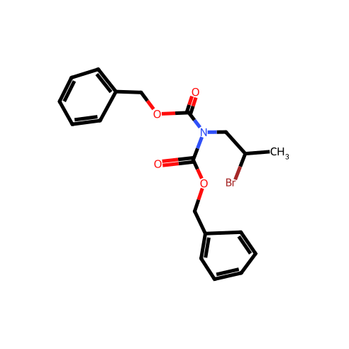 CC(Br)CN(C(=O)OCc1ccccc1)C(=O)OCc1ccccc1